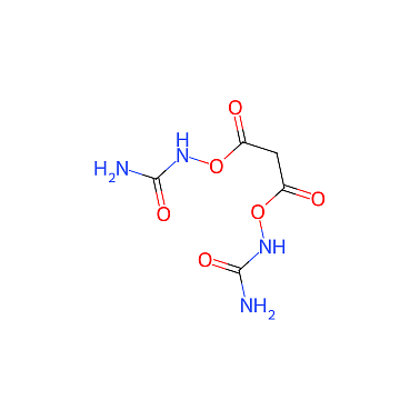 NC(=O)NOC(=O)CC(=O)ONC(N)=O